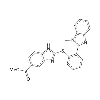 COC(=O)c1ccc2[nH]c(Sc3ccccc3-c3nc4ccccc4n3C)nc2c1